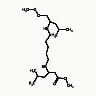 COOCC(CC(C)C)NCCCCCNC(CC(=O)OC)CC(C)C